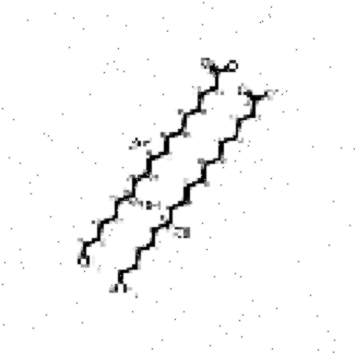 CCCCCC[C@@H](O)CC=CCCCCCCCC(=O)[O-].CCCCCC[C@@H](O)CC=CCCCCCCCC(=O)[O-].[Zn+2]